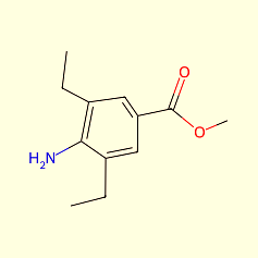 CCc1cc(C(=O)OC)cc(CC)c1N